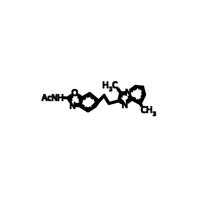 CC(=O)Nc1nc2ccc(CCc3nc4c(C)cccn4c3C)cc2o1